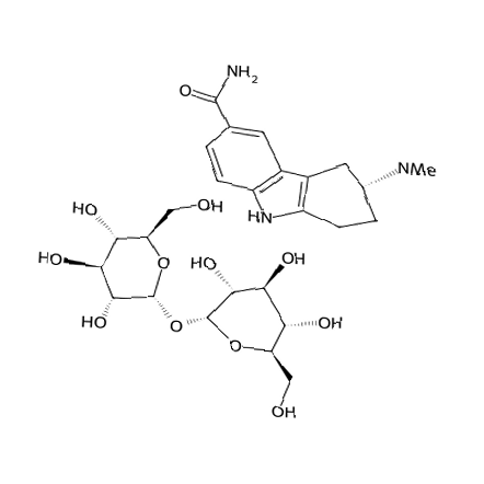 CN[C@@H]1CCc2[nH]c3ccc(C(N)=O)cc3c2C1.OC[C@H]1O[C@H](O[C@H]2O[C@H](CO)[C@@H](O)[C@H](O)[C@H]2O)[C@H](O)[C@@H](O)[C@@H]1O